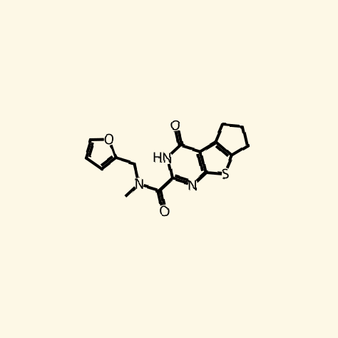 CN(Cc1ccco1)C(=O)c1nc2sc3c(c2c(=O)[nH]1)CCC3